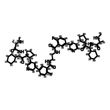 CN[C@@H](C)C(=O)N[C@H](C(=O)N1CCC[C@H]1c1cncc(-c2ccc(F)c(C(=O)NCCNC(=O)c3cc(-c4cncc([C@@H]5CCCN5C(=O)[C@@H](NC(=O)[C@H](C)NC)C5CCCCC5)c4)ccc3F)c2)c1)C1CCCCC1